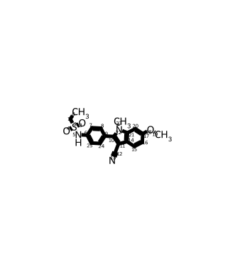 CCS(=O)(=O)Nc1ccc(-c2c(C#N)c3ccc(OC)cc3n2C)cc1